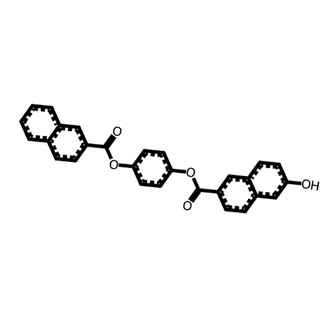 O=C(Oc1ccc(OC(=O)c2ccc3cc(O)ccc3c2)cc1)c1ccc2ccccc2c1